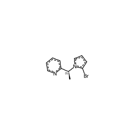 C[C@@H](c1ccccn1)n1cccc1Br